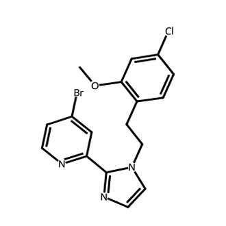 COc1cc(Cl)ccc1CCn1ccnc1-c1cc(Br)ccn1